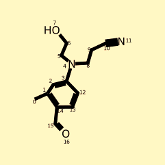 Cc1cc(N(CCO)CCC#N)ccc1C=O